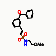 COCCNS(=O)(=O)C=Cc1cccc(C(=O)c2ccccc2)c1